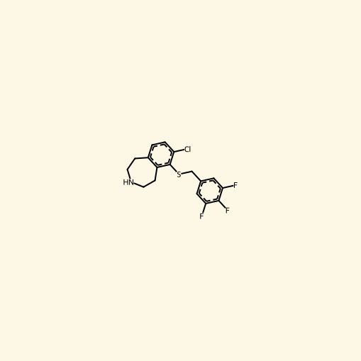 Fc1cc(CSc2c(Cl)ccc3c2CCNCC3)cc(F)c1F